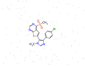 Cn1cnc(-c2ccc(Br)cc2)c1-c1cc2c(S(C)(=O)=O)ncnc2s1